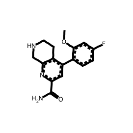 COc1cc(F)ccc1-c1cc(C(N)=O)nc2c1CCNC2